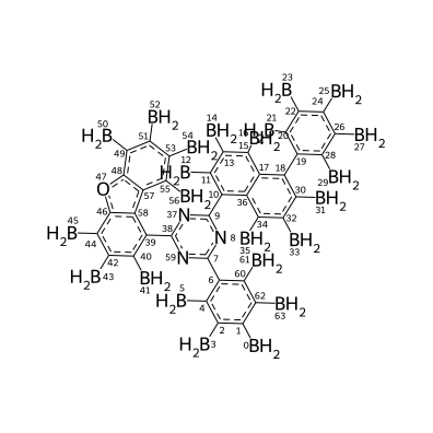 Bc1c(B)c(B)c(-c2nc(-c3c(B)c(B)c(B)c4c(-c5c(B)c(B)c(B)c(B)c5B)c(B)c(B)c(B)c34)nc(-c3c(B)c(B)c(B)c4oc5c(B)c(B)c(B)c(B)c5c34)n2)c(B)c1B